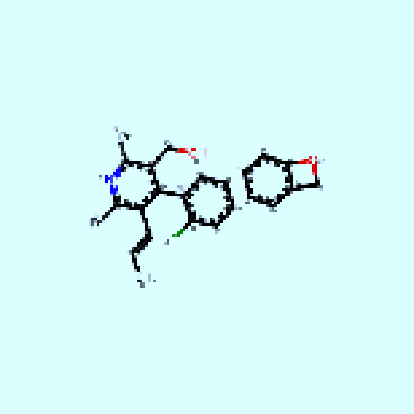 CC=Cc1c(C(C)C)nc(C(C)C)c(CO)c1-c1ccccc1F.c1ccc2c(c1)CO2